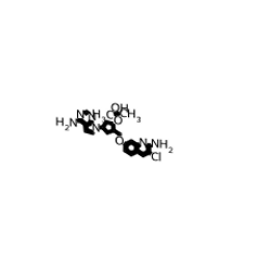 CC(C)(O)OC1CC(n2ccc3c(N)ncnc32)CC1COc1ccc2cc(Cl)c(N)nc2c1